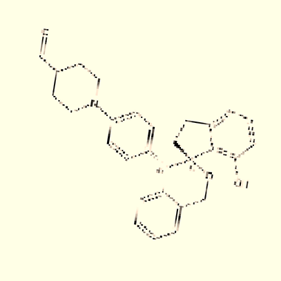 O=CC1CCN(c2ccc([C@H]3c4ccccc4CO[C@]34CCc3cccc(O)c34)cc2)CC1